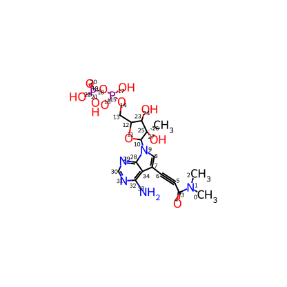 CN(C)C(=O)C#Cc1cn(C2OC(COP(=O)(O)OP(=O)(O)O)C(O)[C@@]2(C)O)c2ncnc(N)c12